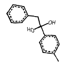 Cc1ccc(C(O)(O)Cc2ccccc2)cc1